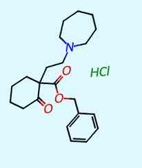 Cl.O=C1CCCCC1(CCN1CCCCCC1)C(=O)OCc1ccccc1